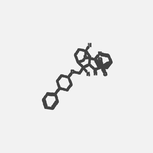 CS(=O)(=O)NC1C[C@H]2CCC(CN2c2ccccn2)[C@H]1COC1CCC(c2ccccc2)CC1